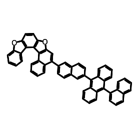 c1ccc2c(-c3c4ccccc4c(-c4ccc5cc(-c6cc7oc8ccc9oc%10ccccc%10c9c8c7c7ccccc67)ccc5c4)c4ccccc34)cccc2c1